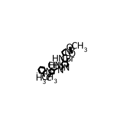 CCS(=O)(=O)N1CC[C@H](Nc2c(Br)cnc3nc(-c4cc(C)n(-c5ccc[c]c5C)c4C)[nH]c23)C1